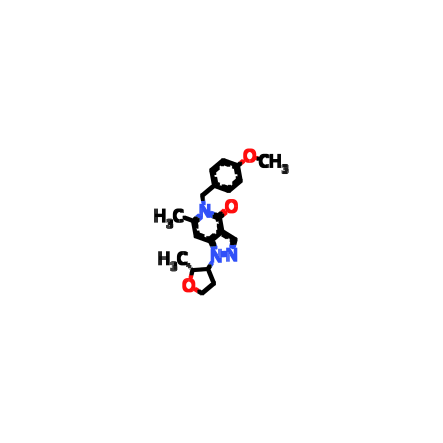 COc1ccc(Cn2c(C)cc3c(cnn3C3CCO[C@@H]3C)c2=O)cc1